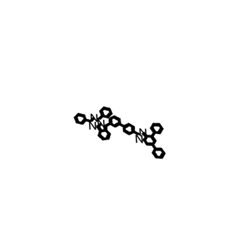 C1=C(c2ccccc2)C=C(c2ccccc2)C2=NC(c3ccc(-c4cccc(-c5c6ccccc6c6nc(-c7ccccc7)nc(-c7ccccc7)n56)c4)cc3)=NC12